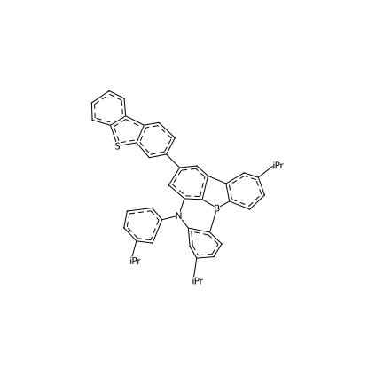 CC(C)c1cccc(N2c3cc(C(C)C)ccc3B3c4ccc(C(C)C)cc4-c4cc(-c5ccc6c(c5)sc5ccccc56)cc2c43)c1